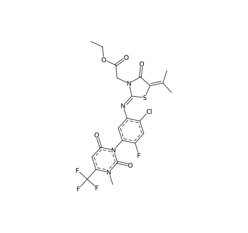 CCOC(=O)CN1C(=O)C(=C(C)C)SC1=Nc1cc(-n2c(=O)cc(C(F)(F)F)n(C)c2=O)c(F)cc1Cl